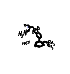 CN(C)Cc1ccccc1-c1ccn2c(=O)n(C/C(=C/F)CN)nc2c1.Cl